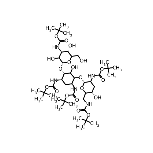 CC(C)(C)OC(=O)NCC1O[C@H](OC2C(O)[C@@H](O[C@H]3OC(CO)[C@@H](O)[C@H](NC(=O)OC(C)(C)C)C3O)[C@H](NC(=O)OC(C)(C)C)C[C@@H]2NC(=O)OC(C)(C)C)C(NC(=O)OC(C)(C)C)C[C@@H]1O